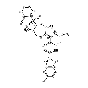 CC(C)C[C@H](NC(=O)c1cc2cc(F)ccc2o1)C(=O)N[C@H]1CC[C@@H](C)N(S(=O)(=O)C2=NC=CCC2=O)C[C@@H]1O